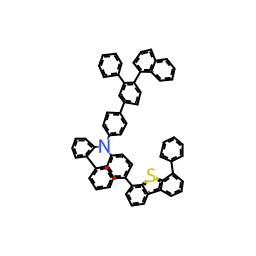 c1ccc(-c2cc(-c3ccc(N(c4ccc(-c5cccc6c5sc5c(-c7ccccc7)cccc56)cc4)c4ccccc4-c4ccccc4)cc3)ccc2-c2cccc3ccccc23)cc1